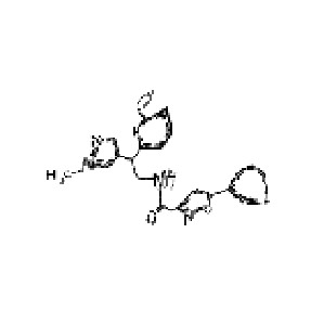 Cn1cc(C(CNC(=O)c2cc(-c3ccccc3)on2)c2cccc(Cl)n2)cn1